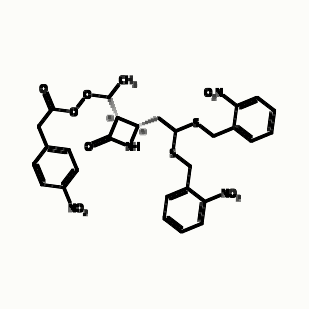 CC(OOC(=O)Cc1ccc([N+](=O)[O-])cc1)[C@H]1C(=O)N[C@H]1CC(SCc1ccccc1[N+](=O)[O-])SCc1ccccc1[N+](=O)[O-]